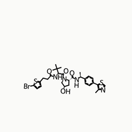 Cc1ncsc1-c1ccc([C@H](C)NC(=O)[C@@H]2C[C@@H](O)CN2C(=O)[C@@H](NC(=O)CCc2ccc(Br)s2)C(C)(C)C)cc1